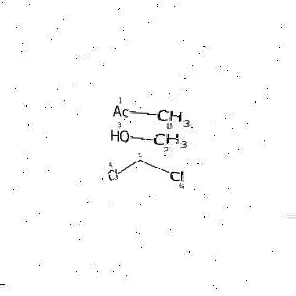 CC(C)=O.CO.ClCCl